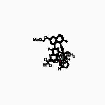 CCS(=O)(=O)c1nc2c3c(nc(-c4cc(OCOC)cc5ccc(F)c(C#C[Si](C(C)C)(C(C)C)C(C)C)c45)c(F)c3n1)C[C@@H](C)[C@H]1[C@@H]3CC[C@H](CN21)N3C(=O)OC(C)(C)C